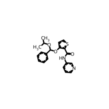 CC(C)OC(Oc1ccsc1C(=O)Nc1cccnc1)c1ccccc1